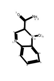 NC(=O)C1C=Nc2ccccc2[S+]1[O-]